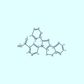 O=C(O)c1cc(-n2c(-c3ccccn3)cc3c2CCc2ccccc2-3)ccn1